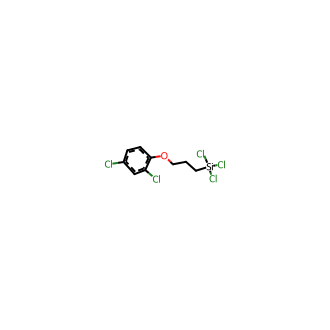 Clc1ccc(OCCC[Si](Cl)(Cl)Cl)c(Cl)c1